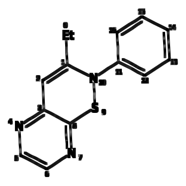 CCC1=Cc2nccnc2SN1c1ccccc1